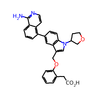 Nc1nccc2c(-c3ccc4c(c3)c(COc3ccccc3CC(=O)O)cn4C3CCOC3)cccc12